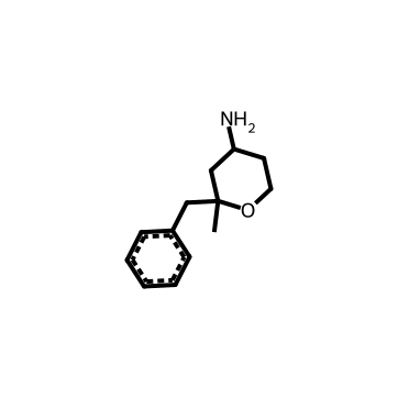 CC1(Cc2ccccc2)CC(N)CCO1